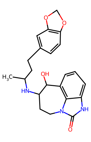 CC(CCc1ccc2c(c1)OCO2)NC1CCn2c(=O)[nH]c3cccc(c32)C1O